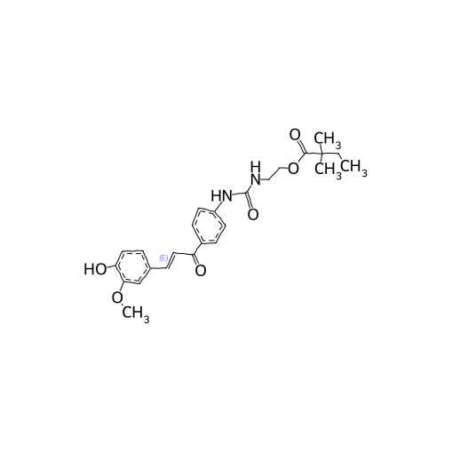 CCC(C)(C)C(=O)OCCNC(=O)Nc1ccc(C(=O)/C=C/c2ccc(O)c(OC)c2)cc1